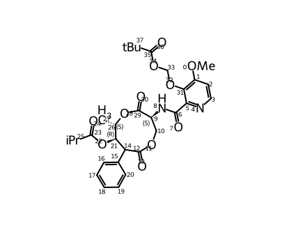 COc1ccnc(C(=O)N[C@H]2COC(=O)C(c3ccccc3)[C@@H](OC(=O)C(C)C)[C@H](C)OC2=O)c1OCOC(=O)C(C)(C)C